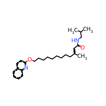 CC(=CC(=O)NCC(C)C)CCCCCCCCCOc1ccc2ccccc2n1